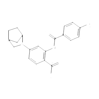 O=C(Nc1cc(N2CC3CCC2C3)ccc1C(=O)O)c1ccc(O)cc1